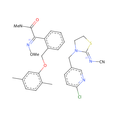 CNC(=O)/C(=N/OC)c1ccccc1COc1cc(C)ccc1C.N#C/N=C1\SCCN1Cc1ccc(Cl)nc1